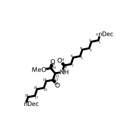 CCCCCCCCCCCCCCCCCC(=O)NC(C(=O)CCCCCCCCCCCCCCC)C(=O)OC